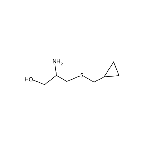 NC(CO)CSCC1CC1